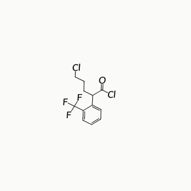 O=C(Cl)C(CCCCl)c1ccccc1C(F)(F)F